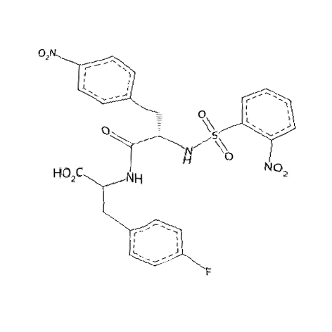 O=C(O)C(Cc1ccc(F)cc1)NC(=O)[C@H](Cc1ccc([N+](=O)[O-])cc1)NS(=O)(=O)c1ccccc1[N+](=O)[O-]